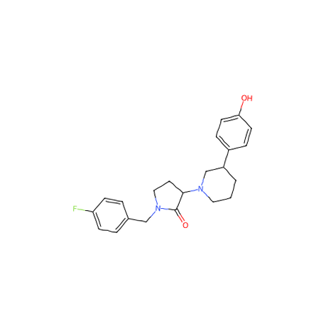 O=C1C(N2CCCC(c3ccc(O)cc3)C2)CCN1Cc1ccc(F)cc1